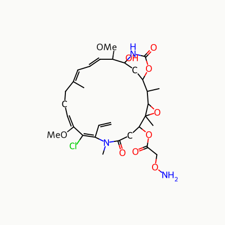 C=C/C1=C(Cl)\C(OC)=C/CC/C(C)=C/C=C/C(OC)C2(O)CC(OC(=O)N2)C(C)C2OC2(C)C(OC(=O)CON)CC(=O)N1C